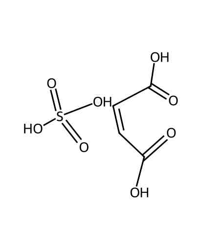 O=C(O)/C=C\C(=O)O.O=S(=O)(O)O